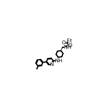 CCS(=O)(=O)NC[C@H]1CC[C@H](Nc2ccc(-c3cccc(C)c3)cn2)CC1